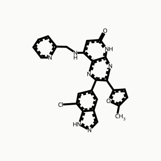 Cc1ccc(-c2nc3[nH]c(=O)cc(NCc4ccccn4)c3nc2-c2cc(Cl)c3[nH]ncc3c2)o1